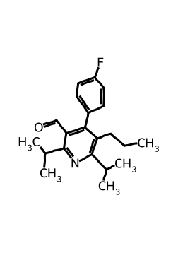 CCCc1c(C(C)C)nc(C(C)C)c(C=O)c1-c1ccc(F)cc1